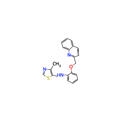 Cc1ncsc1CNc1ccccc1OCc1ccc2ccccc2n1